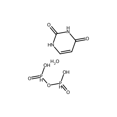 O.O=[PH](O)O[PH](=O)O.O=c1cc[nH]c(=O)[nH]1